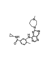 Cc1ccc(C(=O)NC2CC2)cc1Nc1ncnc2cnc(N3CCCN(C)CC3)nc12